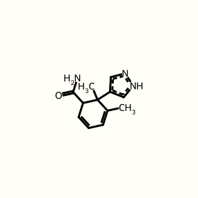 CC1=CC=CC(C(N)=O)C1(C)c1cn[nH]c1